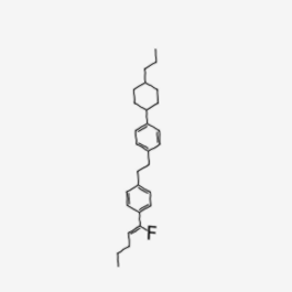 CCCC=C(F)c1ccc(CCc2ccc(C3CCC(CCC)CC3)cc2)cc1